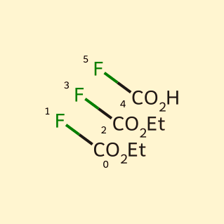 CCOC(=O)F.CCOC(=O)F.O=C(O)F